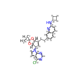 CC1(C)O[C@@H]2[C@H](O1)C(CCc1ccc3ccc(NC4CCC4)nc3c1)=C[C@H]2n1ccc2c(Cl)ncnc21